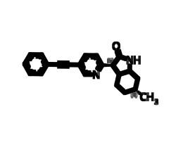 C[C@@H]1CCC2C(C1)NC(=O)[C@@H]2c1ccc(C#Cc2ccccc2)cn1